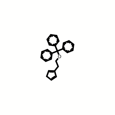 C1=CC(CCOC(c2ccccc2)(c2ccccc2)c2ccccc2)=CC1